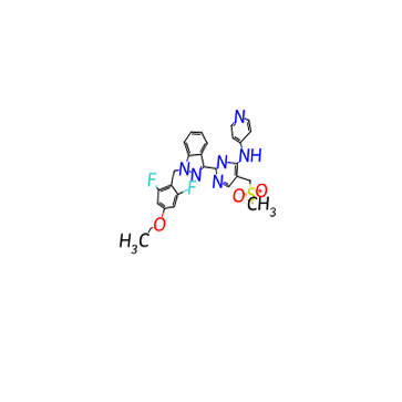 CCOc1cc(F)c(Cn2nc(-c3ncc(CS(C)(=O)=O)c(Nc4ccncc4)n3)c3ccccc32)c(F)c1